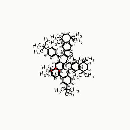 CC(C)(C)c1ccc(N2c3cc(C(C)(C)C)cc4c3B(c3cc5c(cc3N4c3ccc(C(C)(C)C)cc3-c3ccccc3)C(C)(C)CCC5(C)C)c3oc4cc5c(cc4c32)C(C)(C)CCC5(C)C)cc1